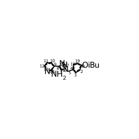 CC(C)COc1ccc(Cn2cc(-c3cccnc3N)nn2)cc1